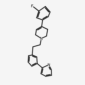 Fc1cccc(C2=CCN(CCc3cccc(-c4ccccn4)c3)CC2)c1